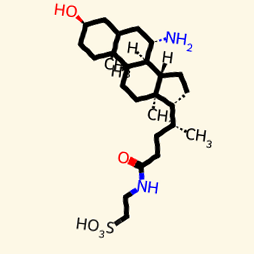 C[C@H](CCC(=O)NCCS(=O)(=O)O)[C@H]1CC[C@H]2[C@@H]3[C@@H](N)CC4C[C@H](O)CC[C@]4(C)[C@H]3CC[C@]12C